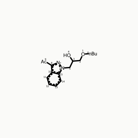 CCCCOCC(O)Cn1nc(C(C)=O)c2ccccc21